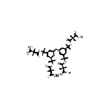 CC(C)(C(=O)O)C(=O)OC(C)(C)C1CC(CC2CC(C(C)(C)OC(=O)C(C)(C)C(=O)O)CC(C(C)(C)OC(=O)C(C)(C)C(=O)O)C2)CC(C(C)(C)OC(=O)C(C)(C)C(=O)O)C1